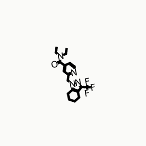 CCN(CC)C(=O)c1ccnc(Cn2nc(C(F)(F)F)c3c2CCCC3)c1